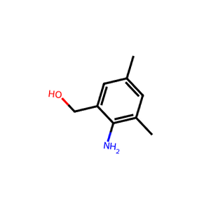 Cc1cc(C)c(N)c(CO)c1